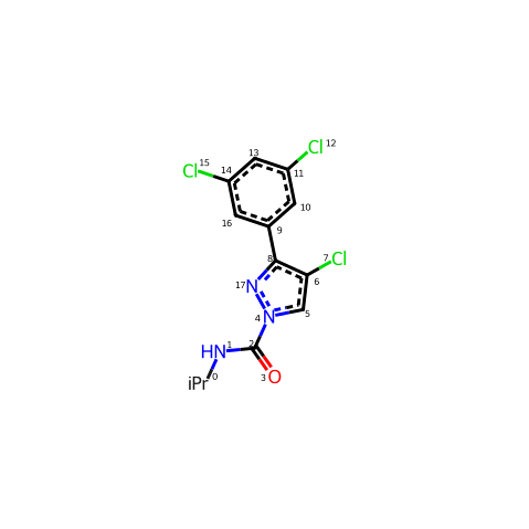 CC(C)NC(=O)n1cc(Cl)c(-c2cc(Cl)cc(Cl)c2)n1